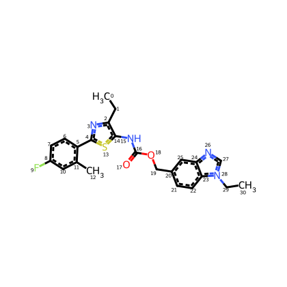 CCc1nc(-c2ccc(F)cc2C)sc1NC(=O)OCc1ccc2c(c1)ncn2CC